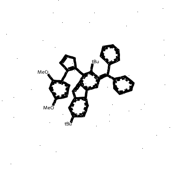 COc1ccc(C2=C(c3c(C(C)(C)C)c(=C(c4ccccc4)c4ccccc4)cc4c3=[C]c3cc(C(C)(C)C)ccc3-4)CC=C2)c(OC)c1